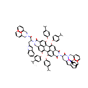 CC(C)c1ccc(Oc2cc3c4c(cc(Oc5ccc(C(C)C)cc5)c5c6c(Oc7ccc(C(C)C)cc7)cc7c8c(cc(Oc9ccc(C(C)C)cc9)c(c2c45)c86)C(=O)N(C(Cc2cc4ccccc4[nH]2)C(=O)N(Cc2ccccc2)Cc2ccccc2)C7=O)C(=O)N(C(Cc2cc4ccccc4[nH]2)C(=O)N(Cc2ccccc2)Cc2ccccc2)C3=O)cc1